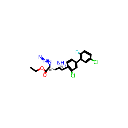 CCOC(=O)[C@@H](C[C@H](N)Cc1ccc(-c2cc(Cl)ccc2F)cc1Cl)N=[N+]=[N-]